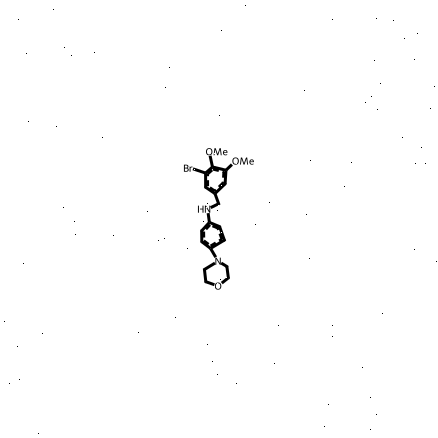 COc1cc(CNc2ccc(N3CCOCC3)cc2)cc(Br)c1OC